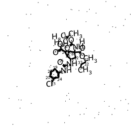 CC(C)(C)OC(=O)NC1(C(=O)O)CC(NC(=O)Nc2cccc(Cl)c2)C2C(C(=O)O)C21.CCCC